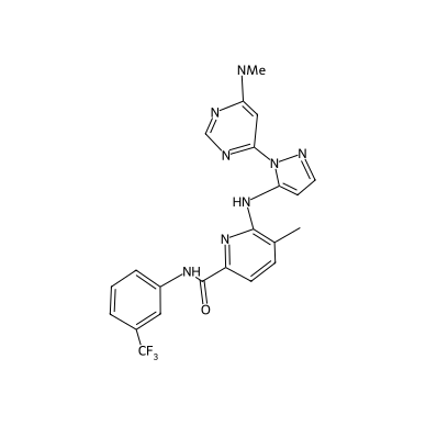 CNc1cc(-n2nccc2Nc2nc(C(=O)Nc3cccc(C(F)(F)F)c3)ccc2C)ncn1